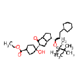 CCOC(=O)C1CCC(O)([C@@H]2CC3C(CC[C@@H]3/C(=C\CC3CCCCC3)O[Si](C)(C)C(C)(C)C)C2=O)CC1